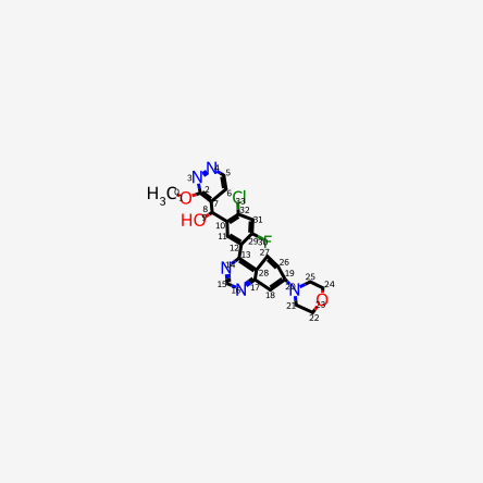 COc1nnccc1C(O)c1cc(-c2ncnc3cc(N4CCOCC4)ccc23)c(F)cc1Cl